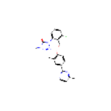 Cc1ccnc(-c2ccc(OCc3c(Cl)cccc3-n3nnn(C)c3=O)c(C)c2)n1